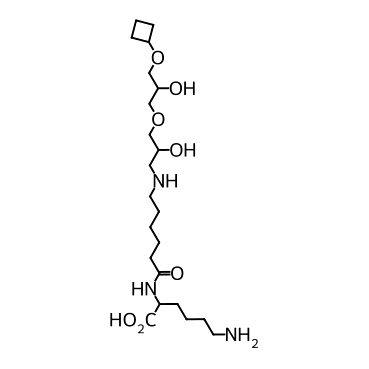 NCCCCC(NC(=O)CCCCCNCC(O)COCC(O)COC1CCC1)C(=O)O